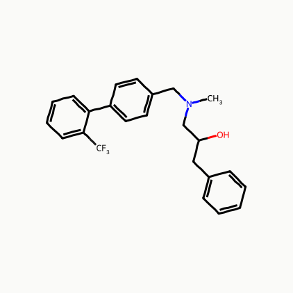 CN(Cc1ccc(-c2ccccc2C(F)(F)F)cc1)CC(O)Cc1ccccc1